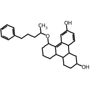 CC(CCCc1ccccc1)OC1CCCC2C1=C1C=C(O)C=CC1C1CC(O)CCC21